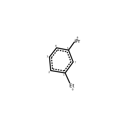 CCc1cccc(C(C)C)c1